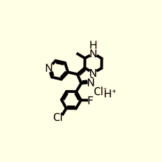 CC1NCCn2nc(-c3ccc(Cl)cc3F)c(-c3ccncc3)c21.[Cl-].[H+]